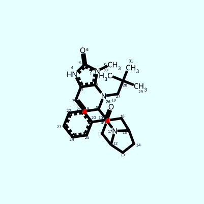 Cn1c2c([nH]c1=O)C=CC(N1CC3CCC(C1)N3C(=O)c1ccccc1)N2CC(C)(C)C